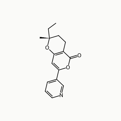 CC[C@]1(C)CCc2c(cc(-c3cccnc3)oc2=O)O1